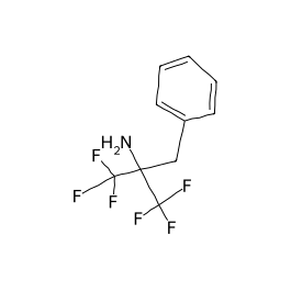 NC(Cc1ccccc1)(C(F)(F)F)C(F)(F)F